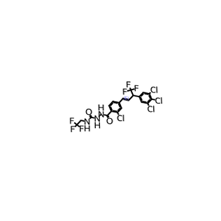 O=C(NCC(F)(F)F)NNC(=O)c1ccc(/C=C/C(c2cc(Cl)c(Cl)c(Cl)c2)C(F)(F)F)cc1Cl